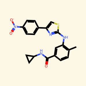 Cc1ccc(C(=O)NC2CC2)cc1Nc1nc(-c2ccc([N+](=O)[O-])cc2)cs1